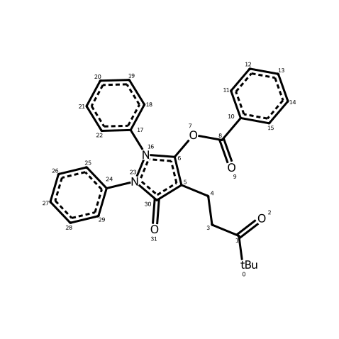 CC(C)(C)C(=O)CCc1c(OC(=O)c2ccccc2)n(-c2ccccc2)n(-c2ccccc2)c1=O